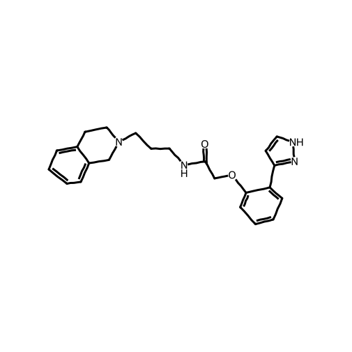 O=C(COc1ccccc1-c1cc[nH]n1)NCCCN1CCc2ccccc2C1